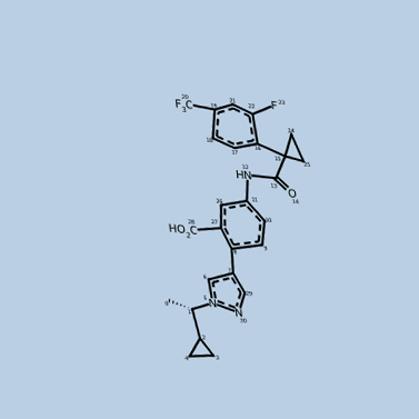 C[C@@H](C1CC1)n1cc(-c2ccc(NC(=O)C3(c4ccc(C(F)(F)F)cc4F)CC3)cc2C(=O)O)cn1